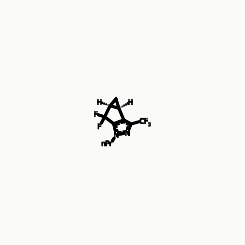 CCCn1nc(C(F)(F)F)c2c1C(F)(F)[C@H]1C[C@@H]21